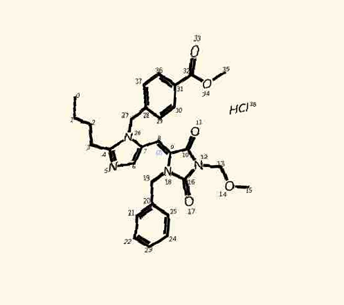 CCCCc1ncc(/C=C2/C(=O)N(COC)C(=O)N2Cc2ccccc2)n1Cc1ccc(C(=O)OC)cc1.Cl